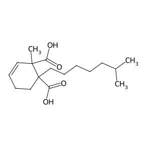 CC(C)CCCCCC1(C(=O)O)CCC=CC1(C)C(=O)O